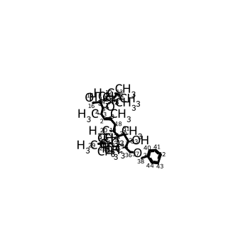 CC(=C[C@H](C)[C@@H](O[Si](C)(C)C(C)(C)C)[C@@H](C)C=O)C[C@H](C)[C@@H](O[Si](C)(C)C(C)(C)C)[C@H](C)[C@@H](O)[C@@H](C)COCc1ccccc1